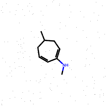 CNC1=CCC(C)CC=C1